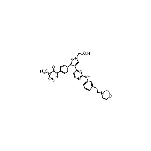 CN(C)C(=O)Nc1ccc(-c2nn(CC(=O)O)cc2-c2ccnc(Nc3cccc(CCN4CCOCC4)c3)n2)cc1